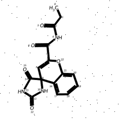 CCC(=O)NC(=O)C1=CC2(NC(=O)NC2=O)c2ccccc2O1